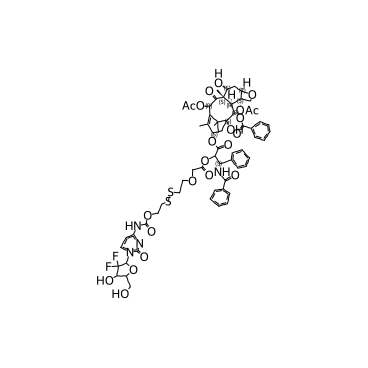 CC(=O)O[C@H]1C(=O)[C@@]2(C)[C@H]([C@H](OC(=O)c3ccccc3)[C@]3(O)C[C@H](OC(=O)C(OC(=O)COCCSSCCOC(=O)Nc4ccn(C5OC(CO)C(O)C5(F)F)c(=O)n4)[C@@H](NC(=O)c4ccccc4)c4ccccc4)C(C)=C1C3(C)C)[C@]1(OC(C)=O)CO[C@@H]1C[C@@H]2O